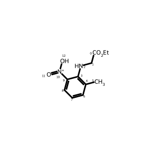 CCOC(=O)CNc1c(C)cccc1[N+](=O)O